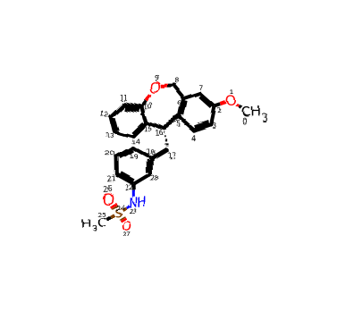 COc1ccc2c(c1)COc1ccccc1[C@H]2Cc1cccc(NS(C)(=O)=O)c1